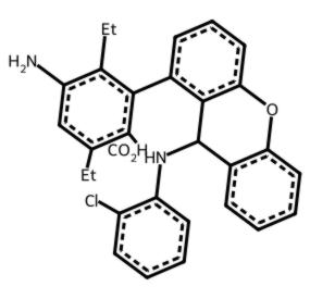 CCc1cc(N)c(CC)c(-c2cccc3c2C(Nc2ccccc2Cl)c2ccccc2O3)c1C(=O)O